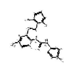 Fc1cccc(Cl)c1COc1cc(Cl)cnc1NC(=S)Nc1ccc(Cl)cc1